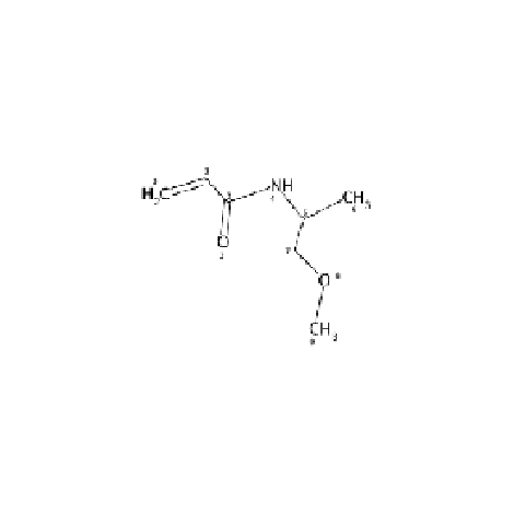 C=CC(=O)NC(C)COC